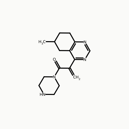 C=C(C(=O)N1CCNCC1)c1ncnc2c1CC(C)CC2